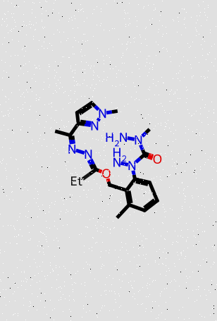 CC/C(=N\N=C(C)c1ccn(C)n1)OCc1c(C)cccc1N(N)C(=O)N(C)N